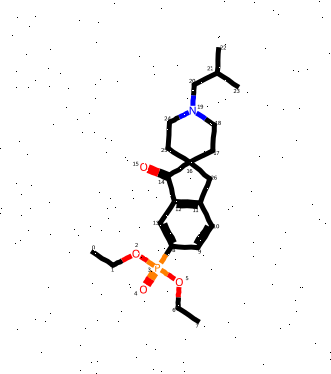 CCOP(=O)(OCC)c1ccc2c(c1)C(=O)C1(CCN(C[C](C)C)CC1)C2